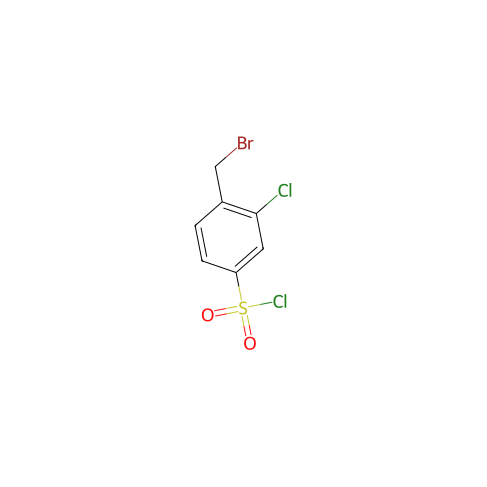 O=S(=O)(Cl)c1ccc(CBr)c(Cl)c1